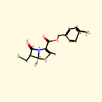 CC1=C(C(=O)OCc2ccc([N+](=O)[O-])cc2)N2C(=O)C(CCl)[C@@H]2S1